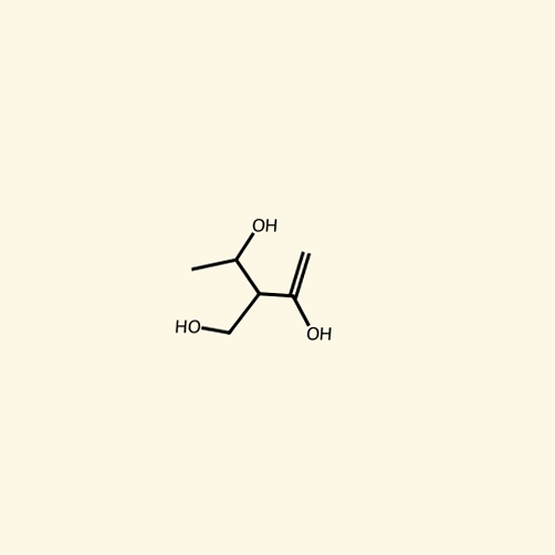 C=C(O)C(CO)C(C)O